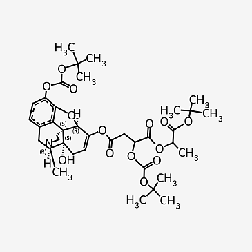 CC(OC(=O)C(CC(=O)OC1=CC[C@@]2(O)[C@H]3Cc4ccc(OC(=O)OC(C)(C)C)c5c4[C@@]2(CCN3C)[C@H]1O5)OC(=O)OC(C)(C)C)C(=O)OC(C)(C)C